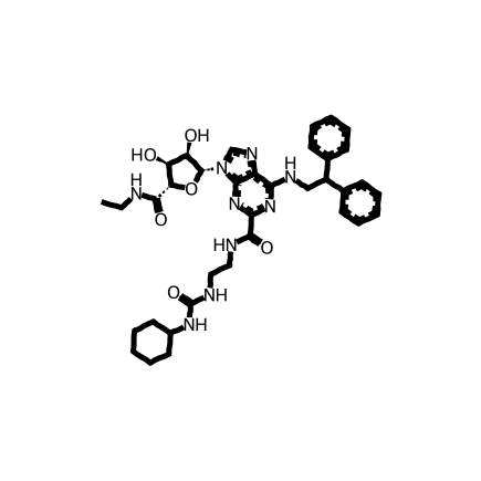 CCNC(=O)[C@H]1O[C@@H](n2cnc3c(NCC(c4ccccc4)c4ccccc4)nc(C(=O)NCCNC(=O)NC4CCCCC4)nc32)[C@H](O)[C@@H]1O